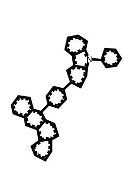 c1ccc(-n2c3ccccc3c3cc(-c4ccc(-c5c6ccccc6cc6c5ccc5ccccc56)cc4)ccc32)cc1